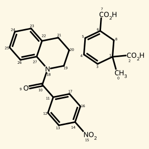 CC1(C(=O)O)C=CC=C(C(=O)O)C1.O=C(c1ccc([N+](=O)[O-])cc1)N1CCCc2ccccc21